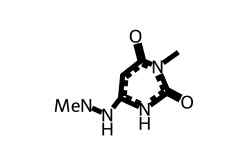 CNNc1cc(=O)n(C)c(=O)[nH]1